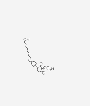 O=C(O)N1C(=O)CCC(c2ccc(OCCCCCCCCO)cc2)C1=O